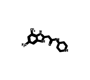 O=C(CC1Nc2cc(C(F)(F)F)cc(C(F)(F)F)c2N1)NC1CCNCC1